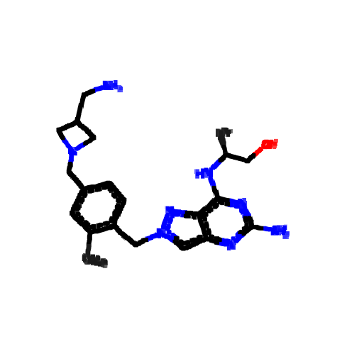 CCC[C@@H](CO)Nc1nc(N)nc2cn(Cc3ccc(CN4CC(CN)C4)cc3OC)nc12